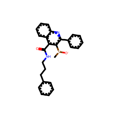 C[S+]([O-])c1c(-c2ccccc2)nc2ccccc2c1C(=O)NCCCc1ccccc1